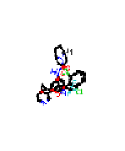 O=C(Nc1cc(-c2cccnc2)cc(C(F)(F)F)c1)N1C2CC[C@H]1CC(OCc1c(-c3c(Cl)cccc3Cl)noc1C1CC1)C2